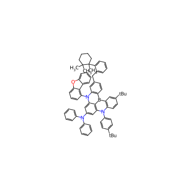 CC(C)(C)c1ccc(N2c3ccc(C(C)(C)C)cc3B3c4ccc(Cc5ccccc5C5(C)CCCCC5(C)C)cc4N(c4cccc5oc6ccccc6c45)c4cc(N(c5ccccc5)c5ccccc5)cc2c43)cc1